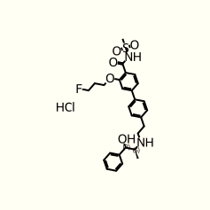 C[C@H](NCCc1ccc(-c2ccc(C(=O)NS(C)(=O)=O)c(OCCCF)c2)cc1)[C@H](O)c1ccccc1.Cl